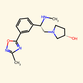 CN[C@H](CN1CC[C@H](O)C1)c1cccc(-c2nc(C)no2)c1